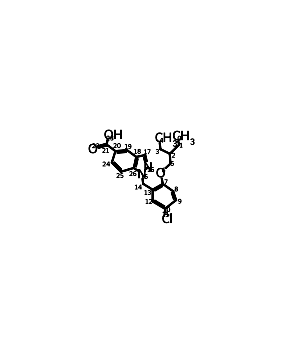 CCC(CC)COc1ccc(Cl)cc1Cn1ncc2cc(C(=O)O)ccc21